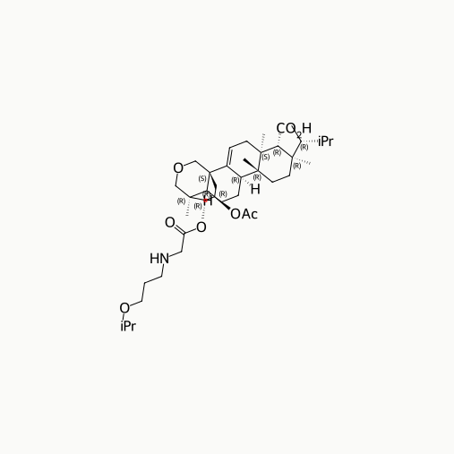 CC(=O)O[C@@H]1C[C@]23COC[C@@](C)([C@@H]2CC[C@H]2C3=CC[C@@]3(C)[C@H](C(=O)O)[C@@](C)([C@H](C)C(C)C)CC[C@]23C)[C@H]1OC(=O)CNCCCOC(C)C